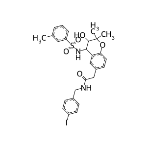 Cc1cccc(S(=O)(=O)NC2c3cc(CC(=O)NCc4ccc(I)cc4)ccc3OC(C)(C)C2O)c1